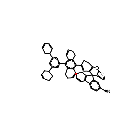 N#Cc1ccc2c(c1)C1(C3=CC=CCC3OC3=C1C=C(c1c4c(c(-c5cc(C6C=CC=CC6)cc(C6CC=CCC6)c5)c5c1CCC=C5)CCC=C4)CC3)C1=C2C=CCC1